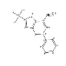 C[Si](C)(C)c1cc2c(s1)C(N)=NC(c1ccccc1)C2.Cl